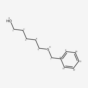 OCCCCCSCc1ccccc1